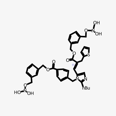 CCCCc1ncc(/C=C(\Cc2cccs2)C(=O)OCc2cccc(CON(O)O)c2)n1Cc1ccc(C(=O)OCc2cccc(CON(O)O)c2)cc1